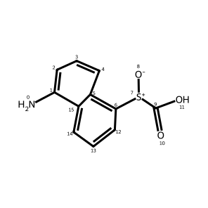 Nc1cccc2c([S+]([O-])C(=O)O)cccc12